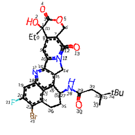 CC[C@@]1(O)C(=O)OCc2c1cc1n(c2=O)Cc2c-1nc1cc(F)c(Br)c3c1c2[C@@H](NC(=O)C[C@H](C)C(C)(C)C)CC3